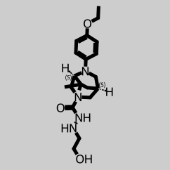 CCOc1ccc(N2C[C@H]3CN(C(=O)NNCCO)C[C@@H]2C(C)(C)C3)cc1